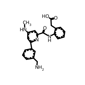 CNc1cc(C(=O)Nc2ccccc2CC(=O)O)nc(-c2cccc(CN)c2)c1